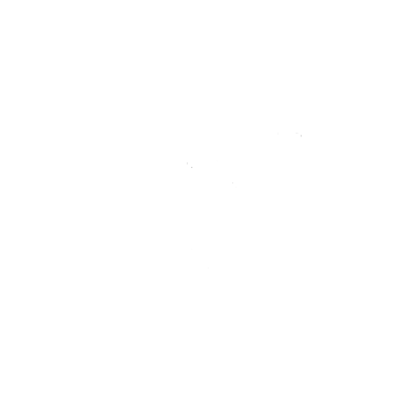 CN=Nc1sc(Nc2cc(S(=O)(=O)O)cc(S(=O)(=O)O)c2)nc1-c1ccccc1